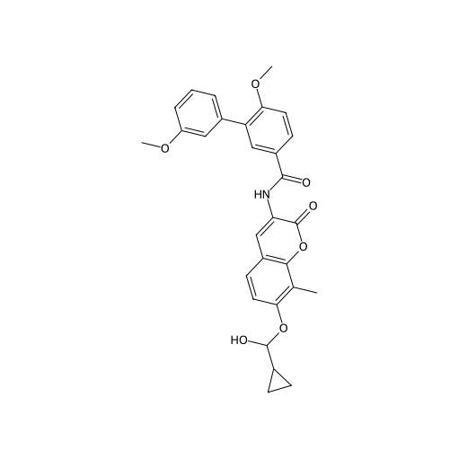 COc1cccc(-c2cc(C(=O)Nc3cc4ccc(OC(O)C5CC5)c(C)c4oc3=O)ccc2OC)c1